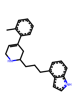 Cc1ccccc1C1=CCNC(CCCc2cccc3[nH]ccc23)C1